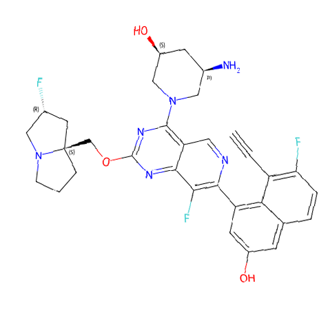 C#Cc1c(F)ccc2cc(O)cc(-c3ncc4c(N5C[C@H](N)C[C@H](O)C5)nc(OC[C@@]56CCCN5C[C@H](F)C6)nc4c3F)c12